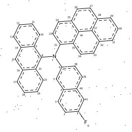 Fc1ccc2cc(N(c3c4ccccc4cc4ccccc34)c3ccc4ccc5cccc6ccc3c4c56)ccc2c1